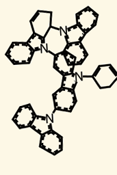 C1=CCCC(n2c3ccc(-n4c5c(c6ccccc64)C=CCC5n4c5ccccc5c5ccccc54)cc3c3cc(-n4c5ccccc5c5ccccc54)ccc32)=C1